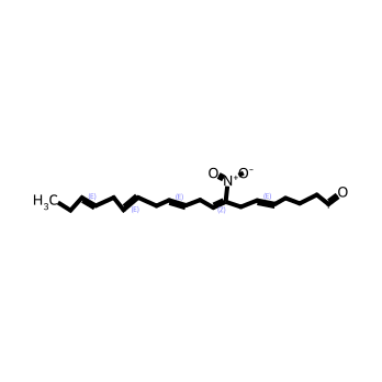 CC/C=C/C/C=C/C/C=C/C/C=C(/C/C=C/CCC[C]=O)[N+](=O)[O-]